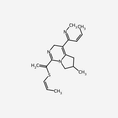 C=C(S/C=C\C)C1=NCC(C(/C=C\C)=N/C)=C2CC(C)CN12